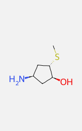 CS[C@H]1C[C@H](N)C[C@@H]1O